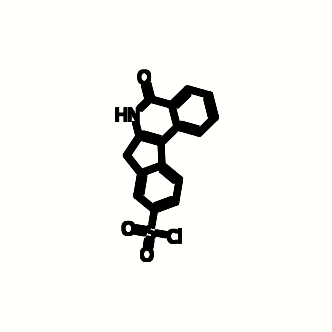 O=c1[nH]c2c(c3ccccc13)-c1ccc(S(=O)(=O)Cl)cc1C2